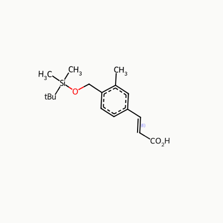 Cc1cc(/C=C/C(=O)O)ccc1CO[Si](C)(C)C(C)(C)C